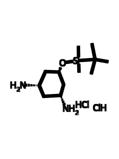 CC(C)(C)[Si](C)(C)O[C@@H]1C[C@H](N)C[C@H](N)C1.Cl.Cl